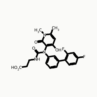 Cc1cc(O)c(N(C(=O)NCCC(=O)O)c2cccc(-c3ccc(F)cc3F)c2)c(=O)n1C